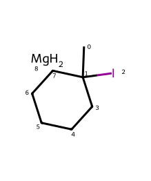 CC1(I)CCCCC1.[MgH2]